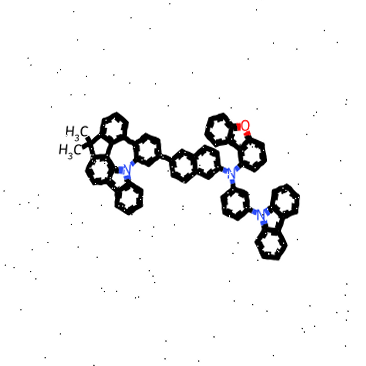 CC1(C)c2cccc3c2-c2c1ccc1c4ccccc4n(c21)-c1cc(-c2ccc4cc(N(c5cccc(-n6c7ccccc7c7ccccc76)c5)c5cccc6oc7ccccc7c56)ccc4c2)ccc1-3